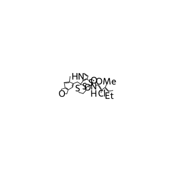 CC/C(C)=C(C)\C(Cl)=C(\NS(=O)(=O)c1cc[nH]c1C1(Cc2cc3c(cc2C)COC3)SCCCS1)OC